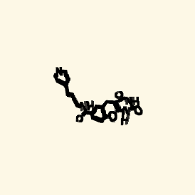 O=C(NCCCc1ccncc1)c1ccc2c(c1)Cc1c([nH]c(=O)[nH]c1=O)O2